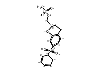 CS(=O)(=O)OC[C@H]1CCc2ccc(S(=O)(=O)C3C=CC=CC3)cc2O1